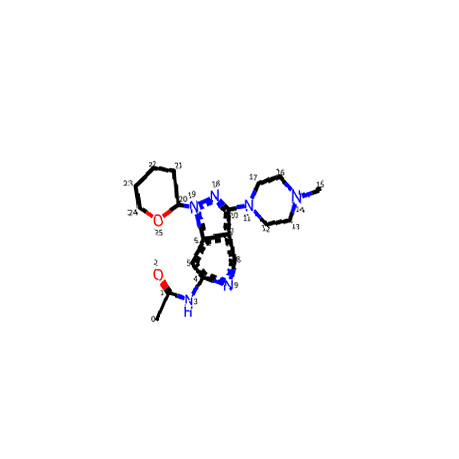 CC(=O)Nc1cc2c(cn1)c(N1CCN(C)CC1)nn2C1CCCCO1